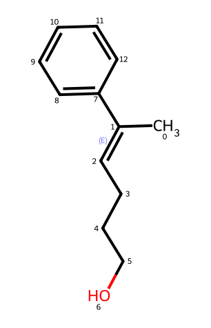 C/C(=C\CCCO)c1ccccc1